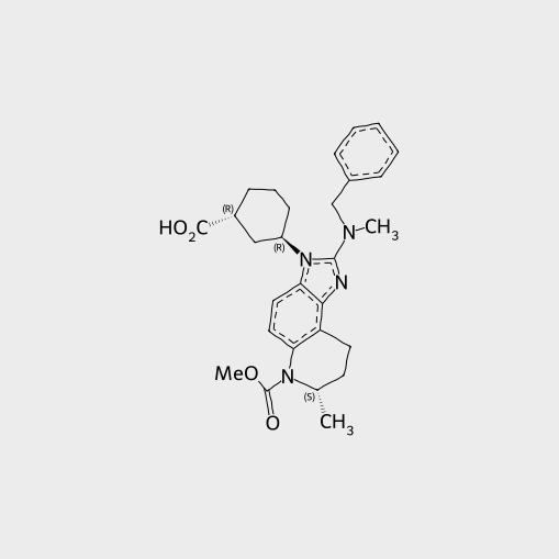 COC(=O)N1c2ccc3c(nc(N(C)Cc4ccccc4)n3[C@@H]3CCC[C@@H](C(=O)O)C3)c2CC[C@@H]1C